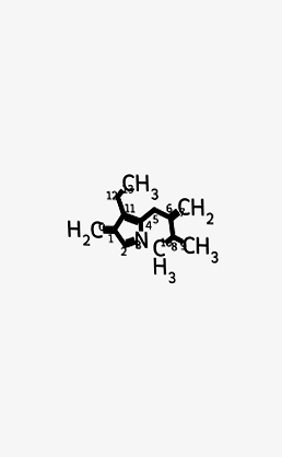 C=C1C=NC(CC(=C)C(C)C)=C1CC